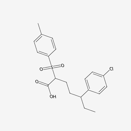 CCC(CCC(C(=O)O)S(=O)(=O)c1ccc(C)cc1)c1ccc(Cl)cc1